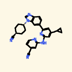 N#Cc1ccnc(Nc2cc(C3CC3)cc(-c3ccc4ncn([C@H]5CC[C@H](C#N)CC5)c4c3)n2)c1